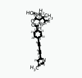 Cn1cnc(C#CC#Cc2ccc(C(=O)N[C@H](C(=O)NO)C(C)(N)C(F)F)cc2)c1